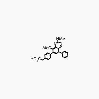 CNc1ncc2c(-c3ccccc3)cc(-c3ccc(CC(=O)O)cc3)c(OC)c2n1